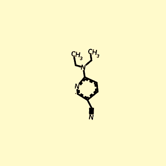 CCN(CC)c1ccc(C#N)[c]n1